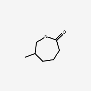 CC1CCCC(=O)[N]C1